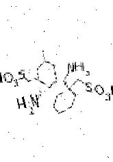 CC1CCC[C@@](CN)(CS(=O)(=O)O)C1.NCC1(CS(=O)(=O)O)CCCCC1